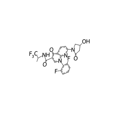 CC(NC(=O)c1cn(-c2c(F)cccc2F)c2nc(N3CC(O)CC3=O)ccc2c1=O)C(F)(F)F